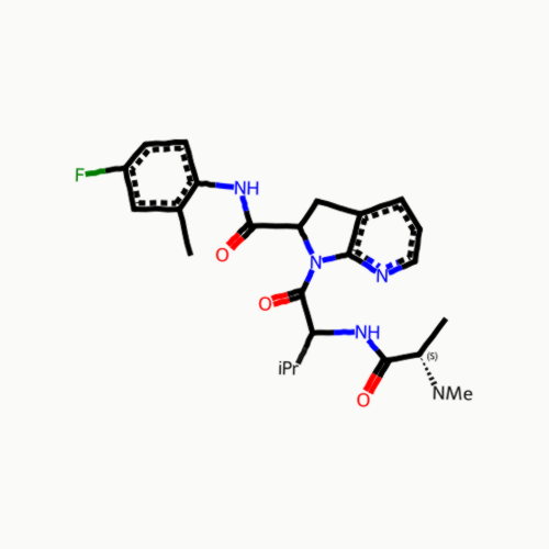 CN[C@@H](C)C(=O)NC(C(=O)N1c2ncccc2CC1C(=O)Nc1ccc(F)cc1C)C(C)C